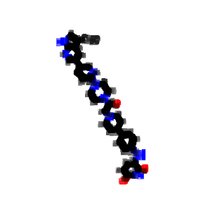 O=Cc1c[nH]c2ncc(-c3ccc(N4CCN(C(=O)CN5CCC(c6ccc(NC7CCC(=O)NC7=O)cc6)CC5)CC4)nc3)cc12